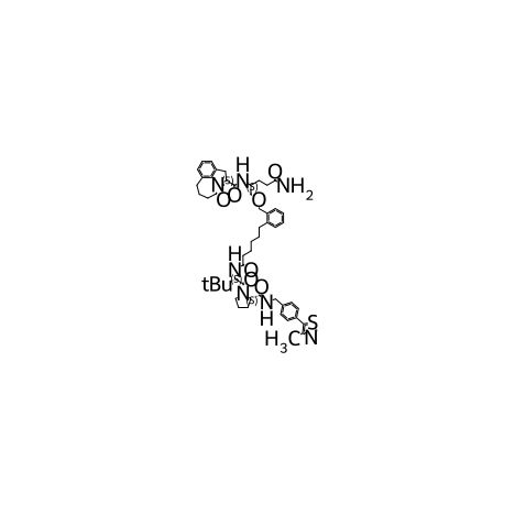 Cc1ncsc1-c1ccc(CNC(=O)[C@@H]2CCCN2C(=O)[C@@H](NC(=O)CCCCCc2ccccc2COC[C@H](CCC(N)=O)NC(=O)[C@@H]2Cc3cccc4c3N2C(=O)CCC4)C(C)(C)C)cc1